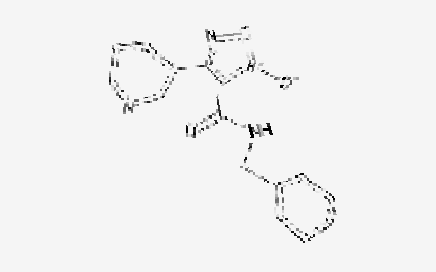 O=C(NCc1ccccc1)c1c(-c2cccnc2)no[n+]1[O-]